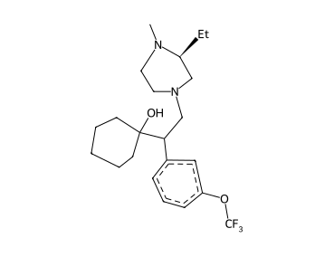 CC[C@H]1CN(CC(c2cccc(OC(F)(F)F)c2)C2(O)CCCCC2)CCN1C